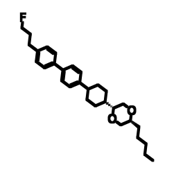 CCCCC[C@H]1CO[C@H](C2CCC(c3ccc(-c4ccc(CCCF)cc4)cc3)CC2)CO1